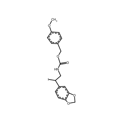 COc1ccc(COC(=O)NCC(I)c2ccc3c(c2)OCO3)cc1